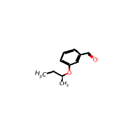 CC[C@H](C)Oc1cccc(C=O)c1